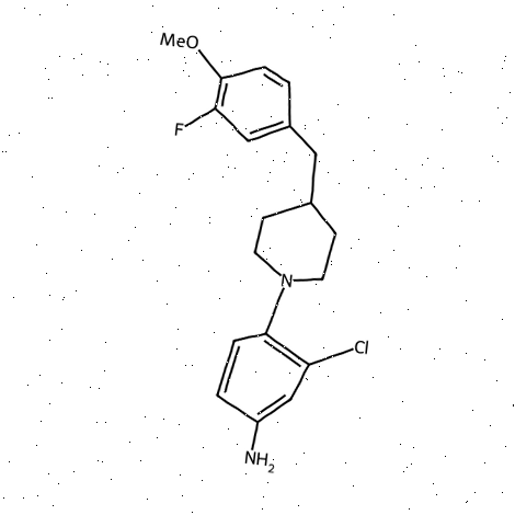 COc1ccc(CC2CCN(c3ccc(N)cc3Cl)CC2)cc1F